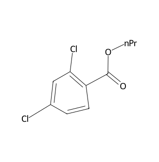 CCCOC(=O)c1ccc(Cl)cc1Cl